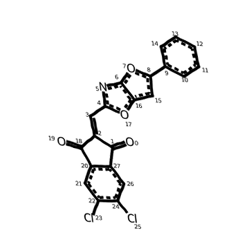 O=C1C(=Cc2nc3oc(-c4ccccc4)cc3o2)C(=O)c2cc(Cl)c(Cl)cc21